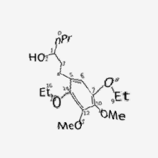 CCCC(O)CCc1cc(OCC)c(OC)c(OC)c1OCC